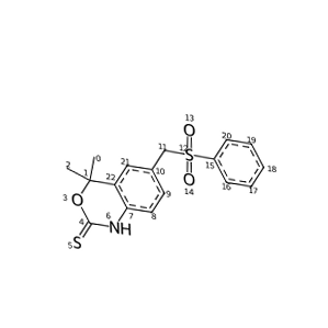 CC1(C)OC(=S)Nc2ccc(CS(=O)(=O)c3ccccc3)cc21